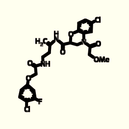 C=C(CCNC(=O)COc1ccc(Cl)c(F)c1)NC(=O)C1CN(C(=O)COC)c2cc(Cl)ccc2O1